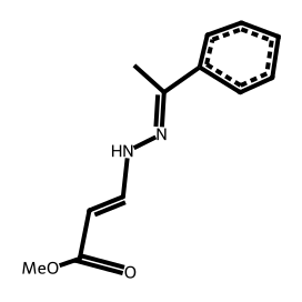 COC(=O)C=CNN=C(C)c1ccccc1